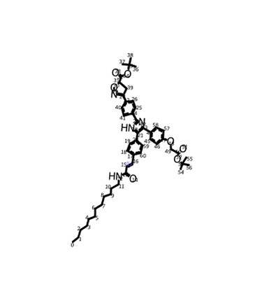 CCCCCCCCCCCCNC(=O)/C=C/c1ccc(-c2[nH]c(-c3ccc(C4=NOC(C(=O)OC(C)(C)C)C4)cc3)nc2-c2ccc(OCC(=O)OC(C)(C)C)cc2)cc1